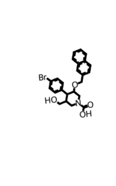 O=C(O)N1CC(CO)C(c2ccc(Br)cc2)C(OCc2ccc3ccccc3c2)C1